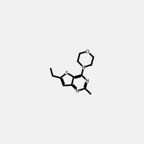 CCc1cc2nc(C)nc(N3CCOCC3)c2s1